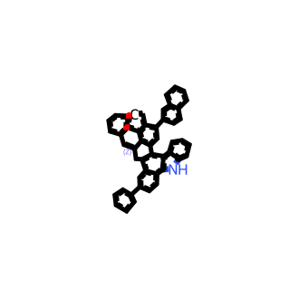 C(=C1\Cc2c(c3c4ccccc4[nH]c3c3ccc(-c4ccccc4)cc23)-c2cc(-c3ccc4ccccc4c3)c3ccccc3c21)/c1ccccc1